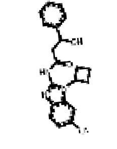 N#Cc1ccc2nc(NC(=O)CC(O)c3ccccc3)n(C3CCC3)c2c1